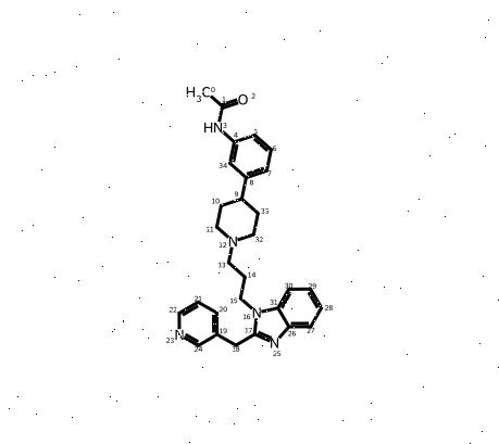 CC(=O)Nc1cccc(C2CCN(CCCn3c(Cc4cccnc4)nc4ccccc43)CC2)c1